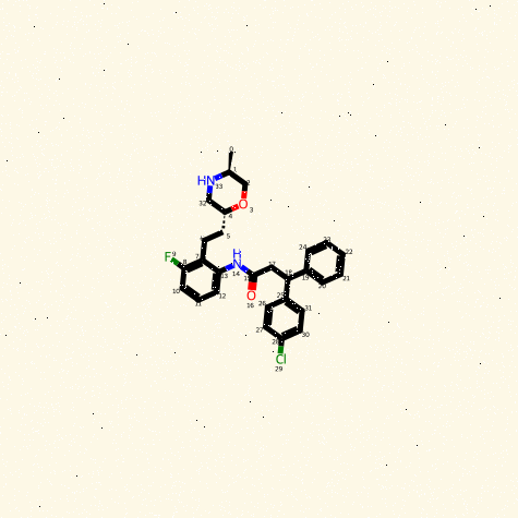 [CH2][C@H]1CO[C@H](CCc2c(F)cccc2NC(=O)CC(c2ccccc2)c2ccc(Cl)cc2)CN1